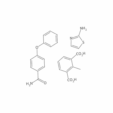 Cc1c(C(=O)O)cccc1C(=O)O.NC(=O)c1ccc(Oc2ccccc2)cc1.Nc1nccs1